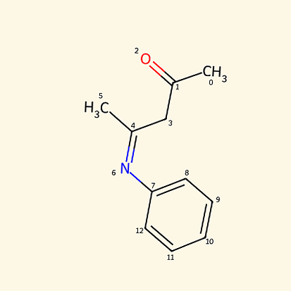 CC(=O)CC(C)=Nc1ccccc1